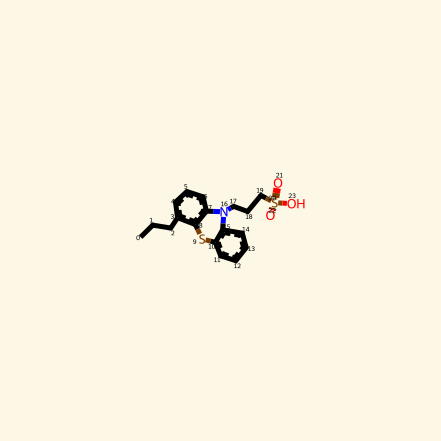 CCCc1cccc2c1Sc1ccccc1N2CCCS(=O)(=O)O